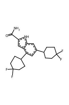 NC(=O)c1cc2c(C3CCC(F)(F)CC3)cc(C3CCC(F)(F)CC3)cc2[nH]1